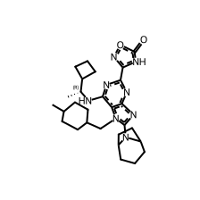 CC1CCC(Cn2c(N3C4CCCC3CC4)nc3nc(-c4noc(=O)[nH]4)nc(N[C@H](C)C4CCC4)c32)CC1